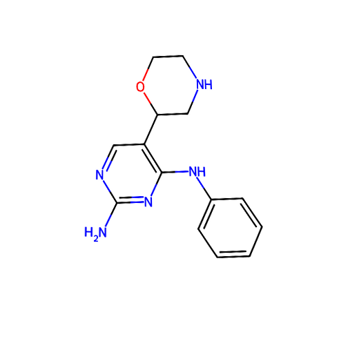 Nc1ncc(C2CNCCO2)c(Nc2ccccc2)n1